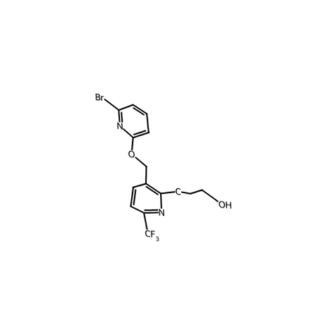 OCCCc1nc(C(F)(F)F)ccc1COc1cccc(Br)n1